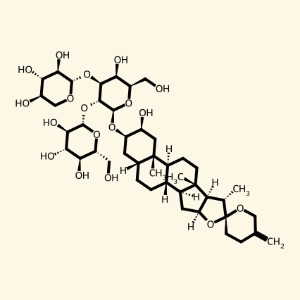 C=C1CC[C@@]2(OC1)O[C@H]1C[C@H]3[C@@H]4CC[C@@H]5C[C@@H](O[C@@H]6O[C@H](CO)[C@H](O)[C@H](O[C@@H]7OC[C@@H](O)[C@H](O)[C@H]7O)[C@H]6O[C@@H]6O[C@H](CO)[C@@H](O)[C@H](O)[C@H]6O)[C@@H](O)C[C@]5(C)[C@H]4CC[C@]3(C)[C@H]1[C@@H]2C